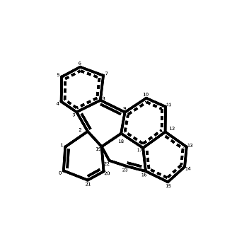 C1=CC2=c3ccccc3=c3ccc4cccc5c4c3C2(C=C1)CC=5